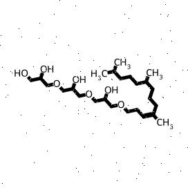 CC(=CCCOCC(O)COCC(O)COCC(O)CO)CCCC(C)CCCC(C)C